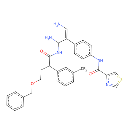 N/C=C(/c1ccc(NC(=O)c2cscn2)cc1)C(N)NC(=O)C(CCOCc1ccccc1)c1cccc(C(F)(F)F)c1